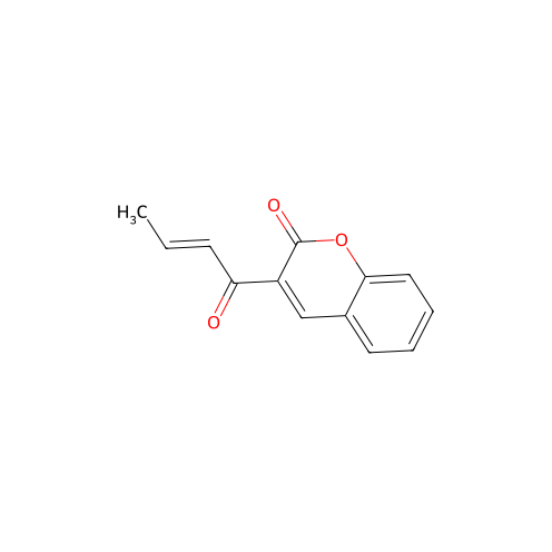 CC=CC(=O)c1cc2ccccc2oc1=O